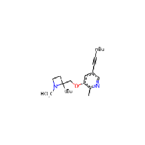 CCCCC#Cc1cnc(C)c(OCC2(C(C)(C)C)CCN2C(=O)O)c1